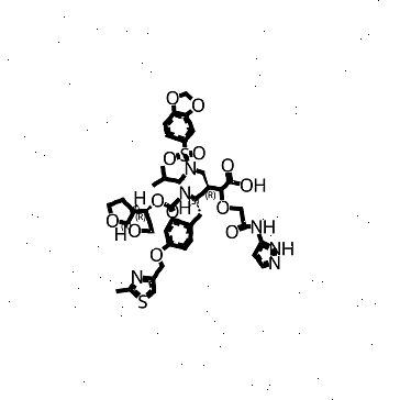 Cc1nc(COc2ccc(C[C@H](NC(=O)O[C@H]3CO[C@H]4OCC[C@H]43)[C@@H](CN(CC(C)C)S(=O)(=O)c3ccc4c(c3)OCO4)C(OCC(=O)Nc3ccn[nH]3)C(=O)O)cc2)cs1